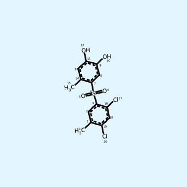 Cc1cc(S(=O)(=O)c2cc(O)c(O)cc2C)c(Cl)cc1Cl